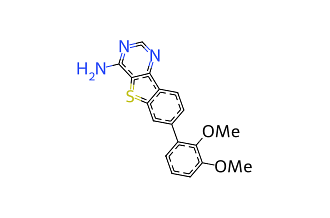 COc1cccc(-c2ccc3c(c2)sc2c(N)ncnc23)c1OC